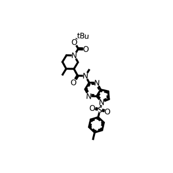 Cc1ccc(S(=O)(=O)n2ccc3nc(N(C)C(=O)C4CN(C(=O)OC(C)(C)C)CCC4C)cnc32)cc1